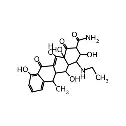 CCNC1C(O)C(C(N)=O)C(=O)C2(O)C(O)=C3C(=O)c4c(O)cccc4C(C)C3C(O)C12